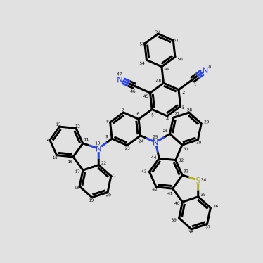 N#Cc1ccc(-c2ccc(-n3c4ccccc4c4ccccc43)cc2-n2c3ccccc3c3c4sc5ccccc5c4ccc32)c(C#N)c1-c1ccccc1